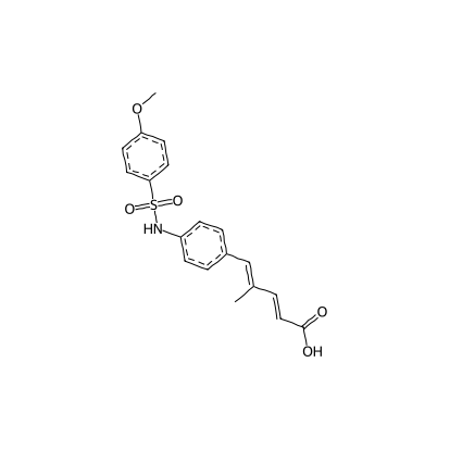 COc1ccc(S(=O)(=O)Nc2ccc(/C=C(C)/C=C/C(=O)O)cc2)cc1